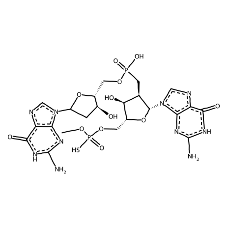 COP(=O)(S)OC[C@H]1O[C@@H](n2cnc3c(=O)[nH]c(N)nc32)[C@H](CP(=O)(O)OC[C@H]2OC(n3cnc4c(=O)[nH]c(N)nc43)C[C@@H]2O)[C@@H]1O